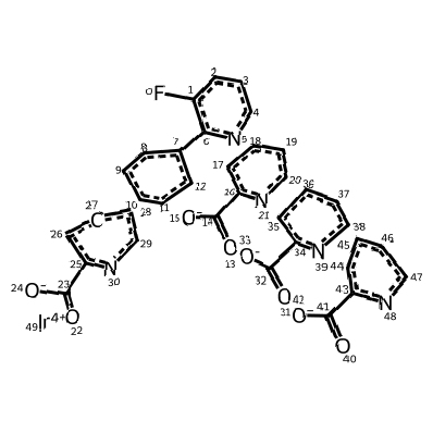 Fc1cccnc1-c1ccccc1.O=C([O-])c1ccccn1.O=C([O-])c1ccccn1.O=C([O-])c1ccccn1.O=C([O-])c1ccccn1.[Ir+4]